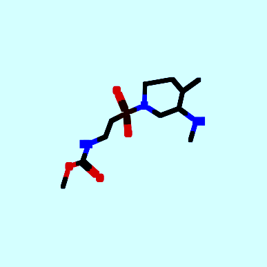 CNC1CN(S(=O)(=O)CCNC(=O)OC)CCC1C